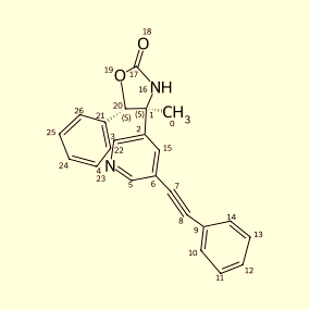 C[C@@]1(c2cncc(C#Cc3ccccc3)c2)NC(=O)O[C@H]1c1ccccc1